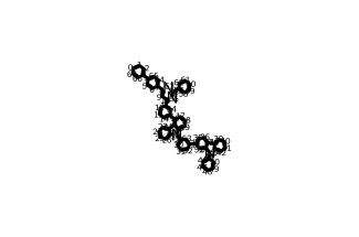 c1ccc(-c2ccc(-c3cc(-c4cccc(-c5cccc6c5c5ccccc5n6-c5cccc(-c6ccc7c8ccccc8n(-c8ccccc8)c7c6)c5)c4)nc(-c4ccccc4)n3)cc2)cc1